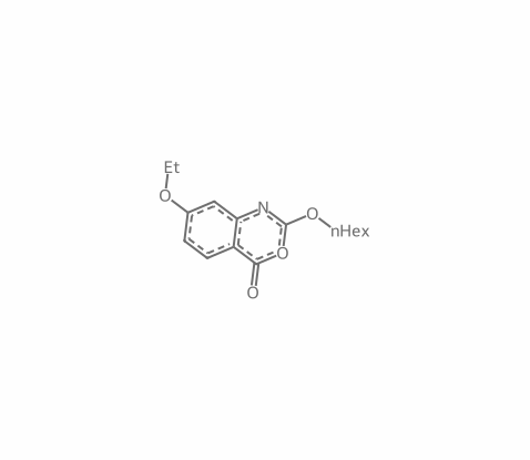 CCCCCCOc1nc2cc(OCC)ccc2c(=O)o1